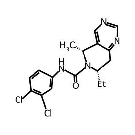 CC[C@H]1Cc2ncncc2[C@@H](C)N1C(=O)Nc1ccc(Cl)c(Cl)c1